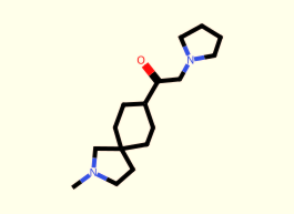 CN1CCC2(CCC(C(=O)CN3CCCC3)CC2)C1